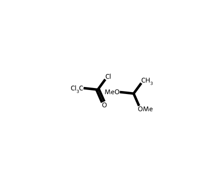 COC(C)OC.O=C(Cl)C(Cl)(Cl)Cl